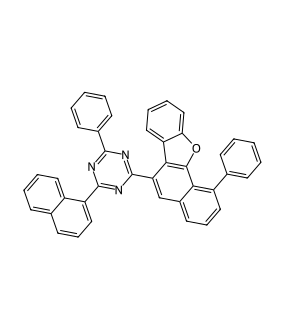 c1ccc(-c2nc(-c3cccc4ccccc34)nc(-c3cc4cccc(-c5ccccc5)c4c4oc5ccccc5c34)n2)cc1